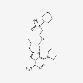 CCCc1nc2c(N)ncc(N(CC)CC)c2n1CCOCCN(C(N)=O)C1CCCCC1